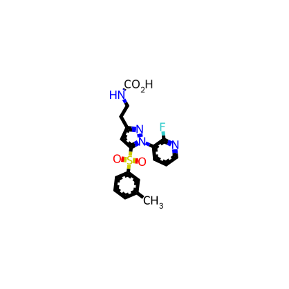 Cc1cccc(S(=O)(=O)c2cc(CCNC(=O)O)nn2-c2cccnc2F)c1